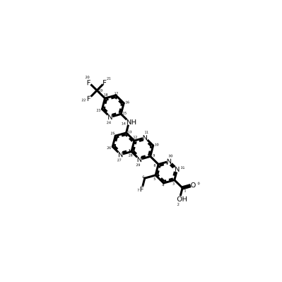 O=C(O)c1cc(CF)c(-c2cnc3c(Nc4ccc(C(F)(F)F)cn4)ccnc3n2)nn1